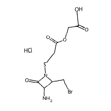 Cl.NC1C(=O)N(SCC(=O)OCC(=O)O)C1CBr